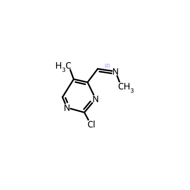 C/N=C\c1nc(Cl)ncc1C